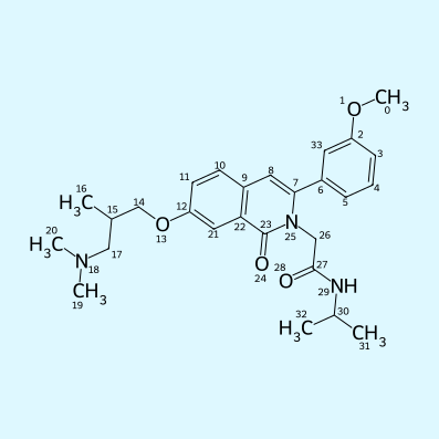 COc1cccc(-c2cc3ccc(OCC(C)CN(C)C)cc3c(=O)n2CC(=O)NC(C)C)c1